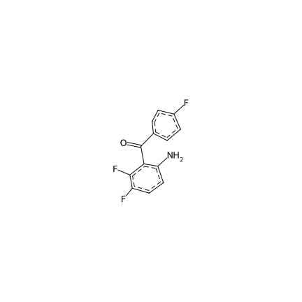 Nc1ccc(F)c(F)c1C(=O)c1ccc(F)cc1